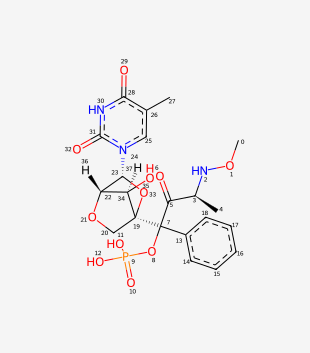 CON[C@@H](C)C(=O)C(OP(=O)(O)O)(c1ccccc1)[C@@]12CO[C@H]([C@H](n3cc(C)c(=O)[nH]c3=O)O1)[C@H]2O